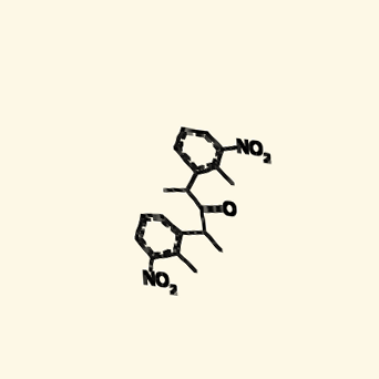 Cc1c(C(C)C(=O)C(C)c2cccc([N+](=O)[O-])c2C)cccc1[N+](=O)[O-]